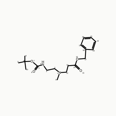 CN(CCNC(=O)OC(C)(C)C)CCC(=O)OCc1ccccc1